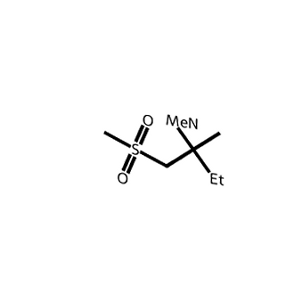 CCC(C)(CS(C)(=O)=O)NC